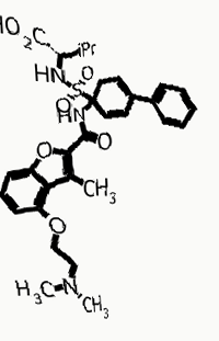 Cc1c(C(=O)NC2(S(=O)(=O)N[C@H](C(=O)O)C(C)C)C=CC(c3ccccc3)=CC2)oc2cccc(OCCN(C)C)c12